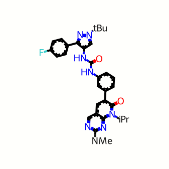 CNc1ncc2cc(-c3cccc(NC(=O)Nc4cn(C(C)(C)C)nc4-c4ccc(F)cc4)c3)c(=O)n(C(C)C)c2n1